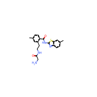 Cc1ccc(C(=O)Nc2nc3ccc(C)cc3s2)c(CCNC(=O)CN)c1